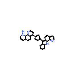 C1=Cc2ccc3c(-c4ccc(-c5c6ccccc6nc6c5ccc5cccnc56)cc4)ccnc3c2NC1